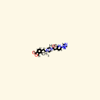 Cc1nc(-n2cncn2)ccc1CC(=O)N1CCN(CCc2ccc3c(c2C)COC3=O)CC1